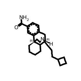 NC(=O)c1ccc2c(c1)[C@@]13CCCCC1[C@@H](C2)N(CCC1CCC1)CC3